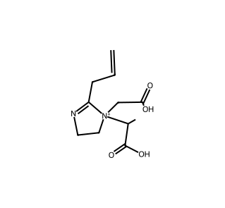 C=CCC1=NCC[N+]1(CC(=O)O)C(C)C(=O)O